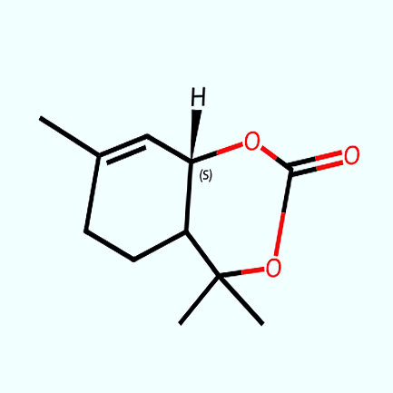 CC1=C[C@@H]2OC(=O)OC(C)(C)C2CC1